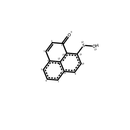 O=C1C=Cc2cccc3ccc(SO)c1c23